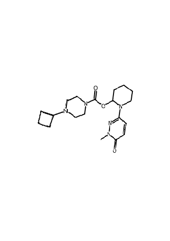 Cn1nc(N2CCCCC2OC(=O)N2CCN(C3CCC3)CC2)ccc1=O